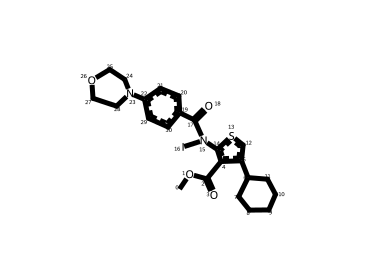 COC(=O)c1c(C2CCCCC2)csc1N(I)C(=O)c1ccc(N2CCOCC2)cc1